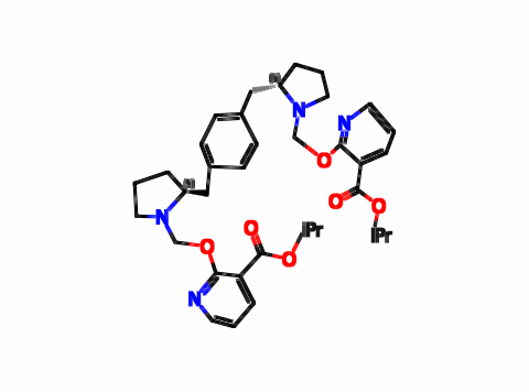 CC(C)OC(=O)c1cccnc1OCN1CCC[C@H]1Cc1ccc(C[C@@H]2CCCN2COc2ncccc2C(=O)OC(C)C)cc1